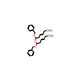 O=CCC=CCC(OCc1ccccc1)OC(CC=CCC=O)OCc1ccccc1